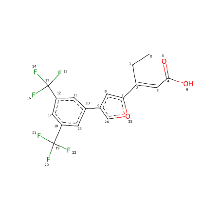 CC/C(=C\C(=O)O)c1cc(-c2cc(C(F)(F)F)cc(C(F)(F)F)c2)co1